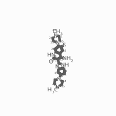 CN1CCN(c2ccc3[nH]c(-c4c(N)c5cc(F)c(N6CCN(C)CC6)cc5[nH]c4=O)nc3c2)CC1